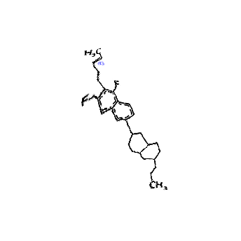 C/C=C/CCc1c(F)cc2cc(C3CCC4CC(CCC)CCC4C3)ccc2c1F